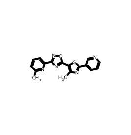 Cc1cccc(-c2noc(-c3sc(-c4cccnc4)nc3C)n2)n1